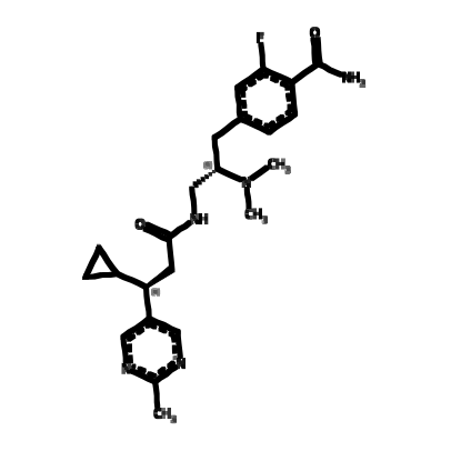 Cc1ncc([C@H](CC(=O)NC[C@H](Cc2ccc(C(N)=O)c(F)c2)N(C)C)C2CC2)cn1